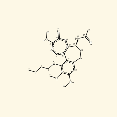 CCCCOc1c(OC)c(OC)cc2c1-c1ccc(OC)c(=O)cc1[C@@H](NC(C)=O)CC2